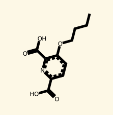 CCCCOc1ccc(C(=O)O)nc1C(=O)O